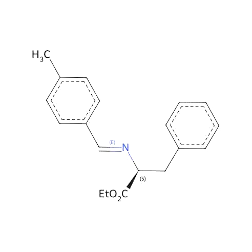 CCOC(=O)[C@H](Cc1ccccc1)/N=C/c1ccc(C)cc1